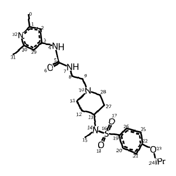 Cc1cc(NC(=O)NCCN2CCC(N(C)S(=O)(=O)c3ccc(OC(C)C)cc3)CC2)cc(C)n1